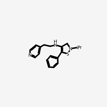 CC(C)N1CC(NCCc2ccncc2)=C(c2ccccc2)S1